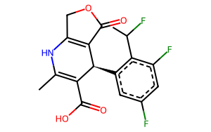 CC1=C(C(=O)O)[C@H](c2cc(F)cc(F)c2C(C)F)C2=C(COC2=O)N1